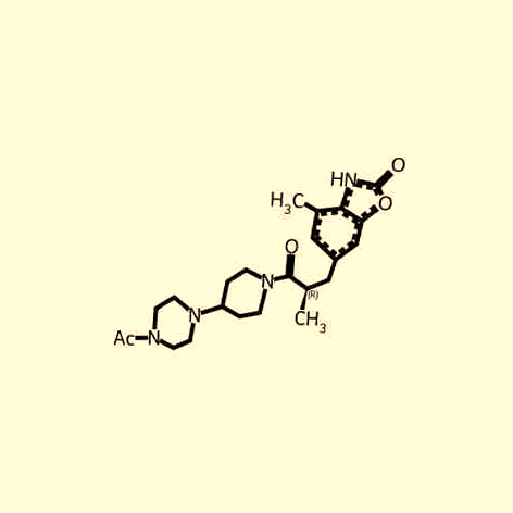 CC(=O)N1CCN(C2CCN(C(=O)[C@H](C)Cc3cc(C)c4[nH]c(=O)oc4c3)CC2)CC1